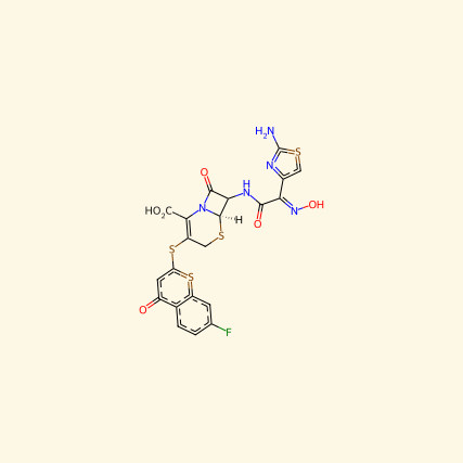 Nc1nc(/C(=N\O)C(=O)NC2C(=O)N3C(C(=O)O)=C(Sc4cc(=O)c5ccc(F)cc5s4)CS[C@H]23)cs1